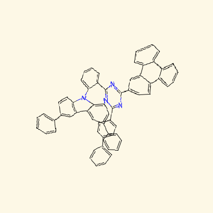 c1ccc(-c2ccc(-c3nc(-c4ccc5c6ccccc6c6ccccc6c5c4)nc(-c4ccccc4-n4c5ccc(-c6ccccc6)cc5c5cc(-c6ccccc6)ccc54)n3)cc2)cc1